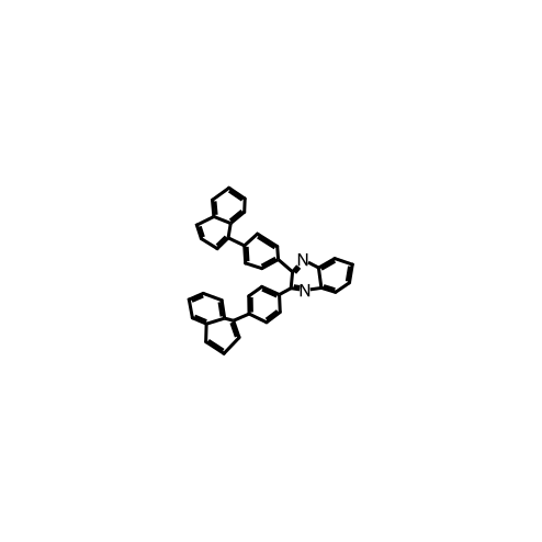 c1ccc2c(-c3ccc(-c4nc5ccccc5nc4-c4ccc(-c5cccc6ccccc56)cc4)cc3)cccc2c1